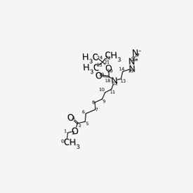 CCOC(=O)CCCCCCCN(CCN=[N+]=[N-])C(=O)OC(C)(C)C